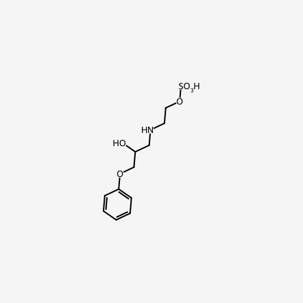 O=S(=O)(O)OCCNCC(O)COc1ccccc1